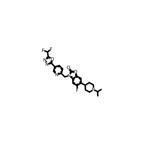 CC(C)N1CCC(c2cc3oc(=O)n(Cc4ccc(-c5nnc(C(F)F)o5)cn4)c3cc2F)CC1